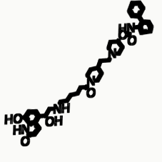 O=C(Nc1ccccc1-c1ccccc1)OC1CCN(CCC2CCN(C(=O)CCCCCNCC(O)c3ccc(O)c4[nH]c(=O)ccc34)CC2)CC1